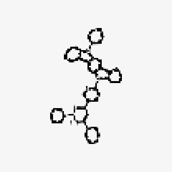 c1ccc(C2=NC(c3ccc(-n4c5ccccc5c5cc6c(cc54)c4ccccc4n6-c4ccccc4)nc3)=NC(c3ccccc3)N2)cc1